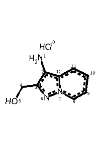 Cl.Nc1c(CO)nn2ccccc12